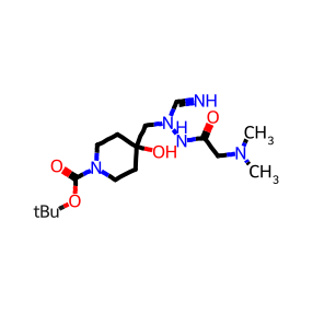 CN(C)CC(=O)NN(C=N)CC1(O)CCN(C(=O)OC(C)(C)C)CC1